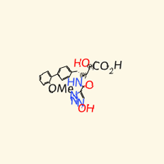 COc1ccccc1-c1ccc(C[C@H](C[C@@H](O)C(=O)O)NC(=O)c2cn(O)nn2)cc1